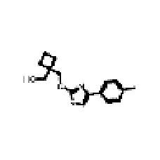 Cc1ccc(-c2csc(OCC3(CO)CCC3)n2)cc1